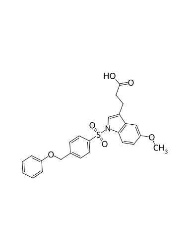 COc1ccc2c(c1)c(CCC(=O)O)cn2S(=O)(=O)c1ccc(COc2ccccc2)cc1